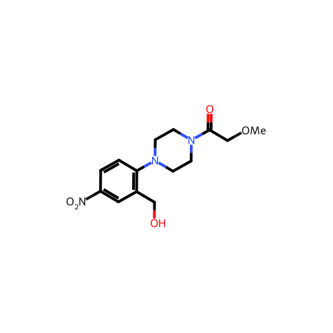 COCC(=O)N1CCN(c2ccc([N+](=O)[O-])cc2CO)CC1